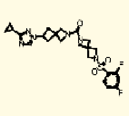 O=C(N1CC2(CC(n3cnc(C4CC4)n3)C2)C1)N1CC2(C1)CN(S(=O)(=O)c1ccc(F)cc1F)C2